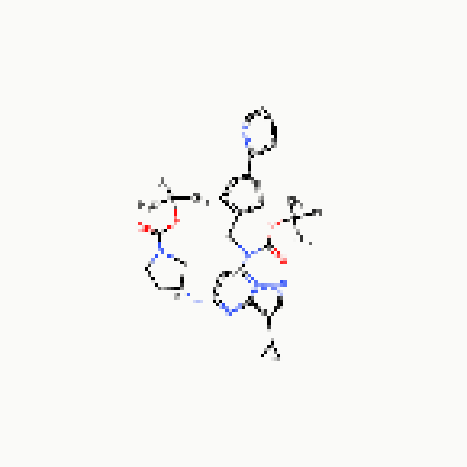 CC(C)(C)OC(=O)N1CC[C@@H](Nc2cc(N(Cc3ccc(-c4ccccn4)cc3)C(=O)OC(C)(C)C)n3ncc(C4CC4)c3n2)C1